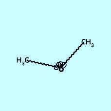 CCCCCCCCCCCCCCCCCOC(=O)c1ccccc1C(=O)OCCCCCCCCCCCCCCCCC